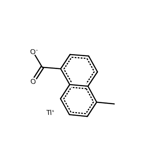 Cc1cccc2c(C(=O)[O-])cccc12.[Tl+]